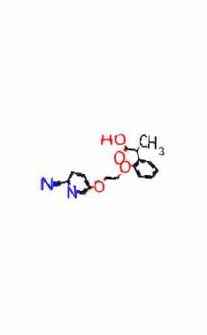 CC(C(=O)O)c1ccccc1OCCOc1ccc(C#N)nc1